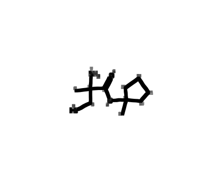 CC1(OC(=O)C(C)(N)CS)CCCC1